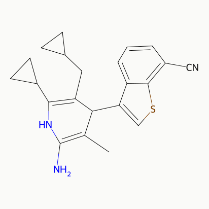 CC1=C(N)NC(C2CC2)=C(CC2CC2)C1c1csc2c(C#N)cccc12